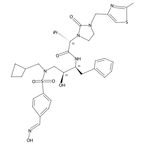 Cc1nc(CN2CCN([C@H](C(=O)N[C@@H](Cc3ccccc3)[C@@H](O)CN(CC3CCC3)S(=O)(=O)c3ccc(C=NO)cc3)C(C)C)C2=O)cs1